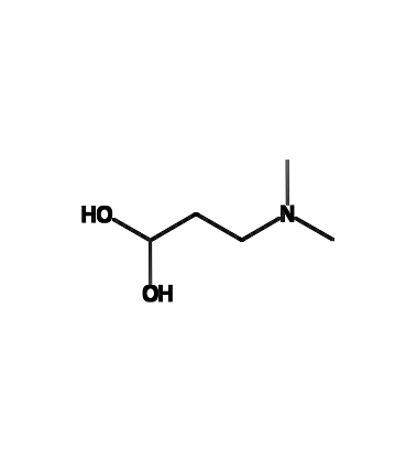 CN(C)CCC(O)O